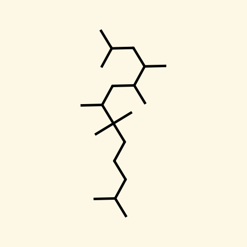 C[C](C)CC(C)C(C)CC(C)C(C)(C)CCCC(C)C